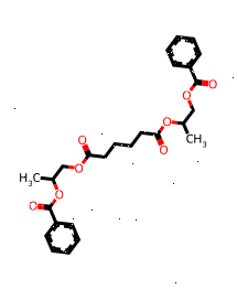 CC(COC(=O)c1ccccc1)OC(=O)CCCCC(=O)OCC(C)OC(=O)c1ccccc1